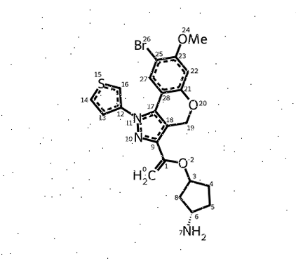 C=C(OC1CC[C@H](N)C1)c1nn(-c2ccsc2)c2c1COc1cc(OC)c(Br)cc1-2